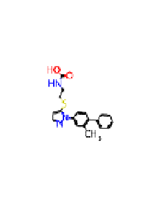 Cc1cc(-n2nccc2SCCNC(=O)O)ccc1-c1ccccc1